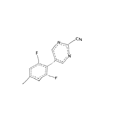 Cc1cc(F)c(-c2cnc(C#N)nc2)c(F)c1